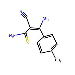 Cc1ccc(/C(N)=C(/C#N)C(N)=S)cc1